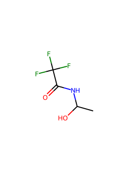 CC(O)NC(=O)C(F)(F)F